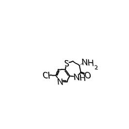 N[C@H]1CSc2cc(Cl)ncc2NC1=O